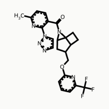 Cc1ccc(C(=O)N2C3CC(COc4cccc(C(F)(F)F)n4)C4CCC432)c(-n2ccnn2)n1